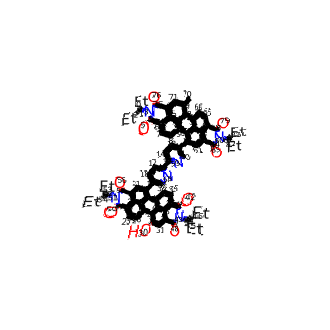 CCC(CC)N1C(=O)c2ccc3c4c(-c5ccc(-c6ccc(-c7cc8c9c(ccc%10c%11c(O)cc%12c%13c(ccc(c7c9%10)c%13%11)C(=O)N(C(CC)CC)C%12=O)C(=O)N(C(CC)CC)C8=O)cn6)nc5)cc5c6c(ccc(c7c(C)cc(c2c37)C1=O)c64)C(=O)N(C(CC)CC)C5=O